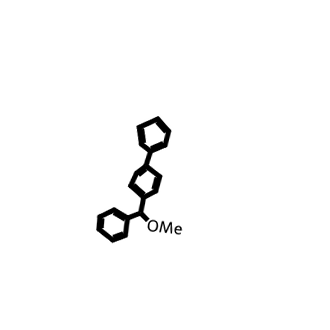 COC(c1ccccc1)c1ccc(-c2ccccc2)cc1